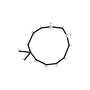 CC1(C)CCCCCCCCCCC1